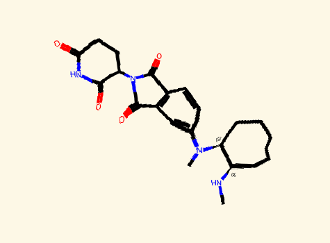 CN[C@@H]1CCCCC[C@@H]1N(C)c1ccc2c(c1)C(=O)N(C1CCC(=O)NC1=O)C2=O